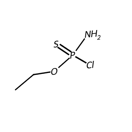 CCOP(N)(=S)Cl